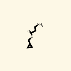 NCCC(=O)OCC1CC1